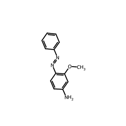 COc1cc(N)ccc1N=Nc1ccccc1